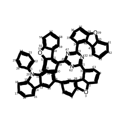 C1=CC2Oc3ccc(-c4ccc5c(c4)c4ccccc4n5-c4ccccc4)cc3C2C(c2nc(-c3cccc4oc5ccccc5c34)nc(-c3cccc4oc5ccccc5c34)n2)=C1